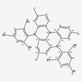 Cc1ccc2c(c1)B(c1c(C(C)C)cc(C(C)C)cc1C(C)C)c1cc(C)cc3c1N2c1ccc(C)cc1B3c1c(C(C)C)cc(C(C)C)cc1C(C)C